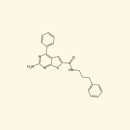 Nc1nc(-c2ccccc2)c2cc(C(=O)NCCCc3ccccc3)sc2n1